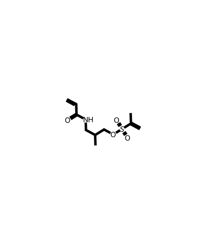 C=CC(=O)NCC(C)COS(=O)(=O)C(=C)C